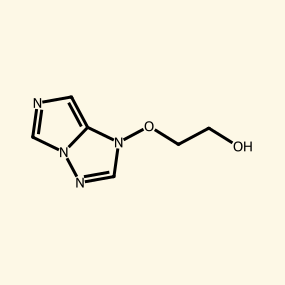 OCCOn1cnn2cncc12